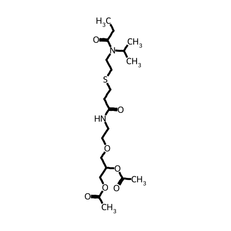 CCC(=O)N(CCSCCC(=O)NCCOCC(COC(C)=O)OC(C)=O)C(C)C